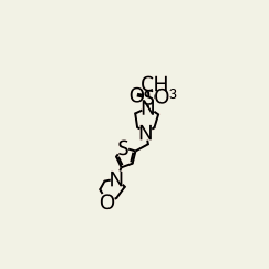 CS(=O)(=O)N1CCN(Cc2cc(N3CCOCC3)cs2)CC1